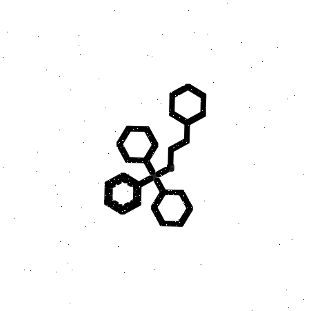 c1ccc([Si](OCCC2CCCCC2)(C2CCCCC2)C2CCCCC2)cc1